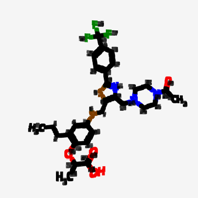 CCCc1cc(SCc2sc(-c3ccc(C(F)(F)F)cc3)nc2CN2CCN(C(C)=O)CC2)ccc1OC(C)C(=O)O